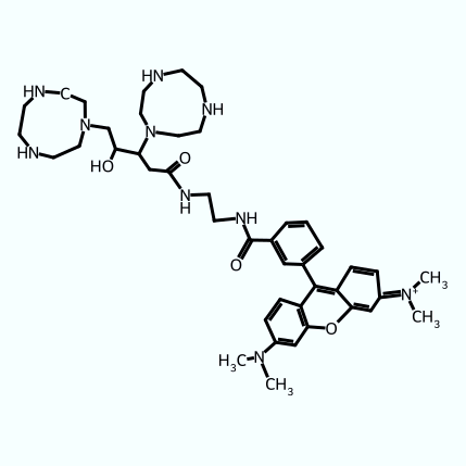 CN(C)c1ccc2c(-c3cccc(C(=O)NCCNC(=O)CC(C(O)CN4CCNCCNCC4)N4CCNCCNCC4)c3)c3ccc(=[N+](C)C)cc-3oc2c1